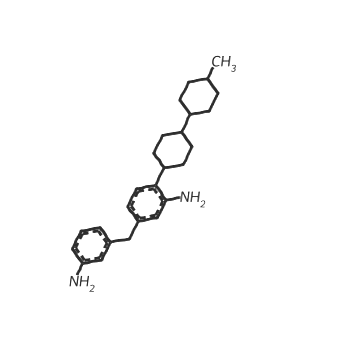 CC1CCC(C2CCC(c3ccc(Cc4cccc(N)c4)cc3N)CC2)CC1